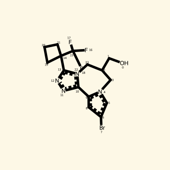 OCC1Cn2cc(Br)cc2-c2nnc(C3(C(F)(F)F)CCC3)n2C1